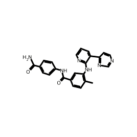 Cc1ccc(C(=O)Nc2ccc(C(N)=O)cc2)cc1Nc1ncccc1-c1ccncn1